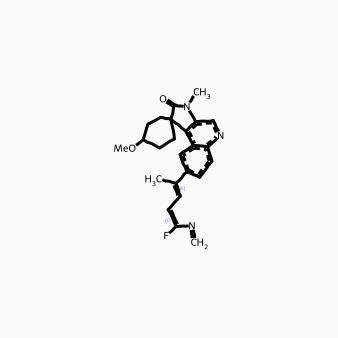 C=N/C(F)=C\C=C(/C)c1ccc2ncc3c(c2c1)C1(CCC(OC)CC1)C(=O)N3C